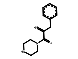 N=C(Cc1ccccc1)C(=O)N1CCNCC1